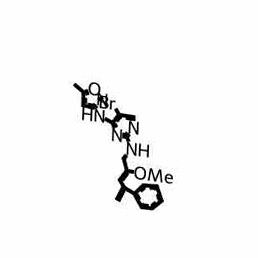 C=C(/C=C(/CNc1ncc(Br)c(Nc2cc(C)on2)n1)OC)c1ccccc1